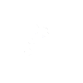 C=C1/C=N\N(CC2CCCOCC2)/C(C)=C/C(CS(=O)(=O)N(c2ccc(CC)cc2)C2CCCC2)=C\1